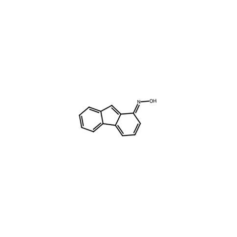 ON=C1C=CC=C2C1=Cc1ccccc12